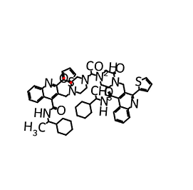 CC(NC(=O)c1c(CN2CCN(C(C(=O)O)N3CCN(Cc4c(-c5cccs5)nc5ccccc5c4C(=O)NC(C)C4CCCCC4)C(=O)C3)CC2=O)c(-c2cccs2)nc2ccccc12)C1CCCCC1